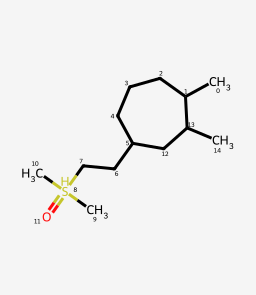 CC1CCCC(CC[SH](C)(C)=O)CC1C